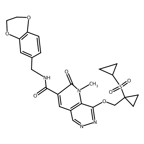 Cn1c(=O)c(C(=O)NCc2ccc3c(c2)OCCO3)cc2cnnc(OCC3(S(=O)(=O)C4CC4)CC3)c21